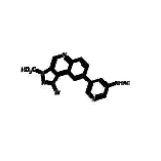 CC(=O)Nc1cncc(-c2ccc3ncc4c(c(Br)nn4C(=O)O)c3c2)c1